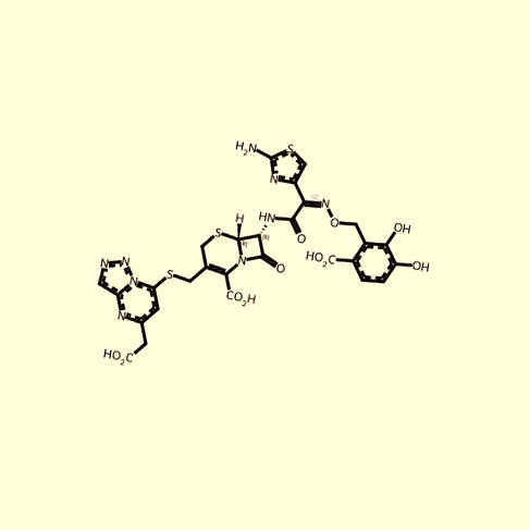 Nc1nc(/C(=N/OCc2c(C(=O)O)ccc(O)c2O)C(=O)N[C@@H]2C(=O)N3C(C(=O)O)=C(CSc4cc(CC(=O)O)nc5cnnn45)CS[C@H]23)cs1